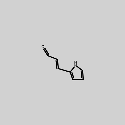 O=C/C=C/c1ccc[nH]1